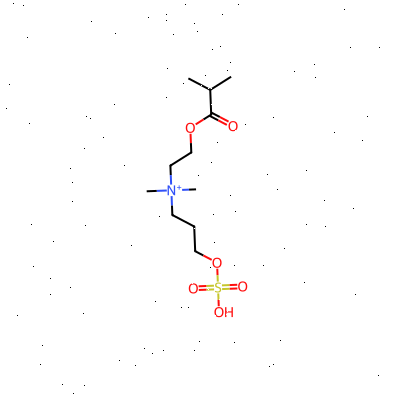 CC(C)C(=O)OCC[N+](C)(C)CCCOS(=O)(=O)O